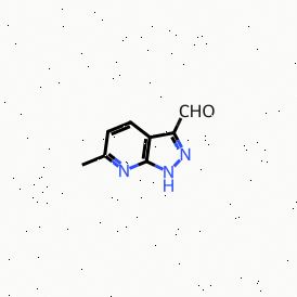 Cc1ccc2c(C=O)n[nH]c2n1